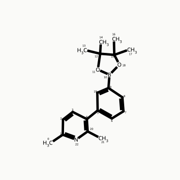 Cc1ccc(-c2cccc(B3OC(C)(C)C(C)(C)O3)c2)c(C)n1